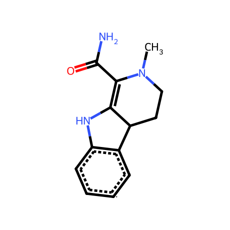 CN1CCC2C(=C1C(N)=O)Nc1cc[c]cc12